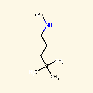 CCCCNCCC[Si](C)(C)C